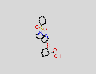 O=C(O)c1ccccc1Oc1cnc2c(ccn2S(=O)(=O)c2ccccc2)c1